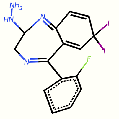 NNC1CN=C(c2ccccc2F)C2=CC(I)(I)C=CC2=N1